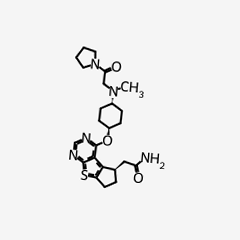 CN(CC(=O)N1CCCC1)[C@H]1CC[C@H](Oc2ncnc3sc4c(c23)[C@@H](CC(N)=O)CC4)CC1